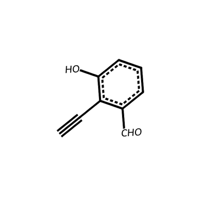 C#Cc1c(O)cccc1C=O